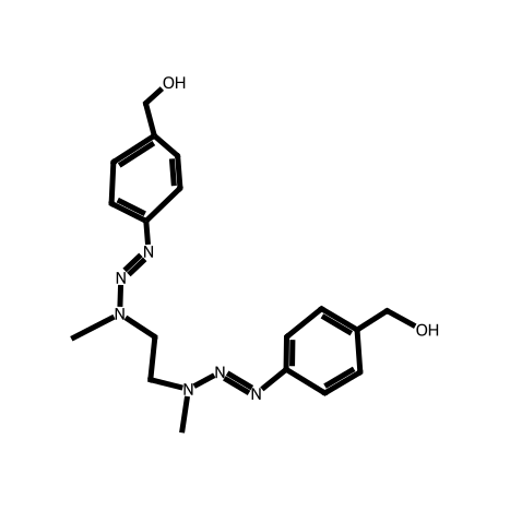 CN(CCN(C)/N=N/c1ccc(CO)cc1)N=Nc1ccc(CO)cc1